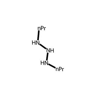 CCCNNNCCC